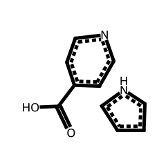 O=C(O)c1ccncc1.c1cc[nH]c1